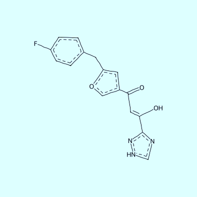 O=C(C=C(O)c1nc[nH]n1)c1coc(Cc2ccc(F)cc2)c1